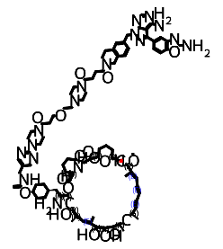 C=C(NCc1cnc(N2CCN(C(=O)CCOCCN3CCN(C(=O)CCC(=O)N4CCc5cc(Cn6nc(-c7ccc8oc(N)nc8c7)c7c(N)ncnc76)ccc5C4)CC3)CC2)nc1)O[C@H]1CC[C@H](C[C@@H](N)[C@@H]2C[C@@H](O)[C@H](C)/C=C(\C)[C@@H](O)[C@@H](O)C(=O)[C@H](C)C[C@H](C)/C=C/C=C/C=C(\C)[C@@H](OC)C[C@@H]3CCC[C@@](O)(O3)C(=O)C(=O)N3CCCC[C@H]3C(=O)O2)CC1